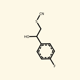 N#CSCC(O)c1ccc(F)cc1